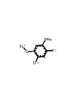 CCOc1cc(NC)c(F)cc1Cl